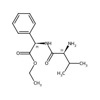 CCOC(=O)[C@H](NC(=O)[C@@H](N)C(C)C)c1ccccc1